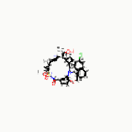 CC[C@H](O)[C@@H]1/C=C/C[C@@H]2C[C@@]2(C)S(=O)(=O)NC(=O)c2ccc3c(c2)N(C[C@@H]2CC[C@H]21)C[C@@]1(CCCc2cc(Cl)ccc21)CO3